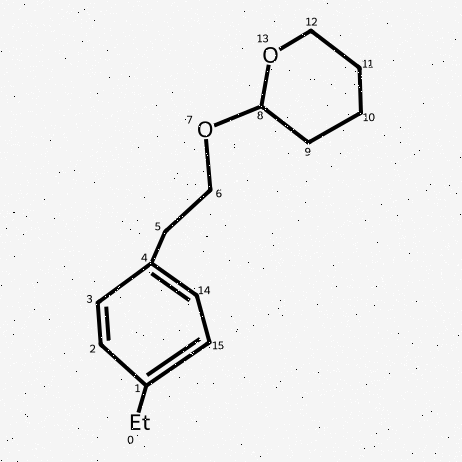 CCc1ccc(CCOC2CCCCO2)cc1